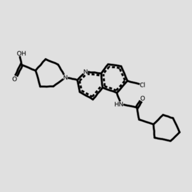 O=C(CC1CCCCC1)Nc1c(Cl)ccc2nc(N3CCC(C(=O)O)CC3)ccc12